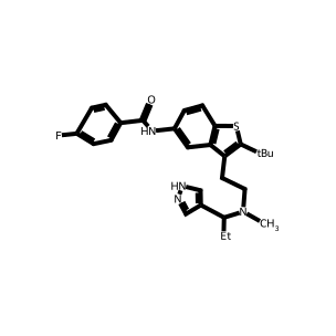 CCC(c1cn[nH]c1)N(C)CCc1c(C(C)(C)C)sc2ccc(NC(=O)c3ccc(F)cc3)cc12